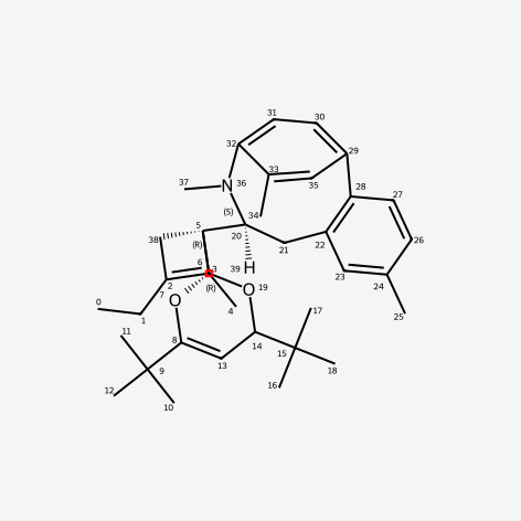 CCC1=C(C)[C@@]([C@H]2OC(C(C)(C)C)=CC(C(C)(C)C)O2)([C@@H]2Cc3cc(C)ccc3-c3ccc(c(C)c3)N2C)C1